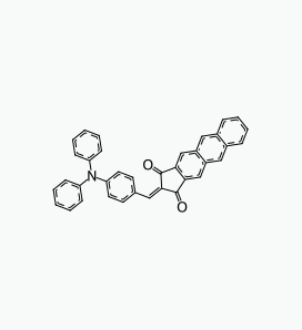 O=C1C(=Cc2ccc(N(c3ccccc3)c3ccccc3)cc2)C(=O)c2cc3cc4ccccc4cc3cc21